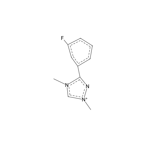 Cn1c[n+](C)nc1-c1cccc(F)c1